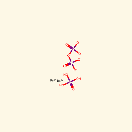 O=P(O)(O)O.O=P([O-])([O-])OP(=O)([O-])[O-].[Ba+2].[Ba+2]